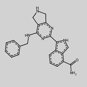 NC(=O)c1cccc2c(-c3nc4c(c(NCc5ccccc5)n3)CNC4)[nH]cc12